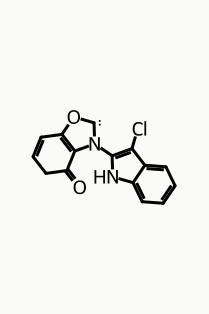 O=C1CC=CC2=C1N(c1[nH]c3ccccc3c1Cl)[C]O2